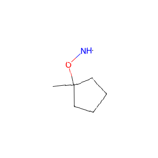 CC1(O[NH])CCCC1